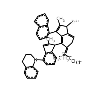 CC1=Cc2c(cccc2N2CCCc3ccccc32)C1C1=C2C(=CCC1=[Si](C)C)[CH]([Zr+2])C(C)=C2c1cccc2ccccc12.[Cl-].[Cl-]